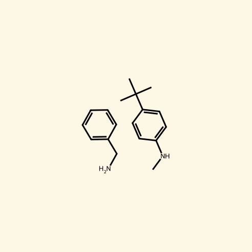 CNc1ccc(C(C)(C)C)cc1.NCc1ccccc1